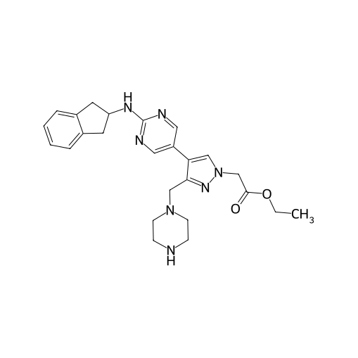 CCOC(=O)Cn1cc(-c2cnc(NC3Cc4ccccc4C3)nc2)c(CN2CCNCC2)n1